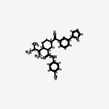 C=C(C(C)C)N1CCN(C(=O)c2cccc(-c3ccco3)c2)CC1C(=O)Nc1ccc(Cl)cc1